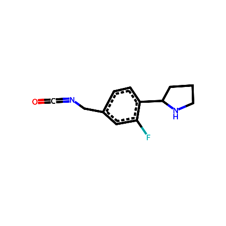 O=C=NCc1ccc(C2CCCN2)c(F)c1